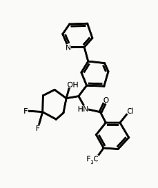 O=C(NC(c1cccc(-c2ccccn2)c1)C1(O)CCC(F)(F)CC1)c1cc(C(F)(F)F)ccc1Cl